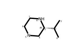 CC(C)[C@@H]1C[N]CCN1